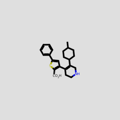 CC1CCC(C2=C(c3cc(-c4ccccc4)sc3C(=O)O)CCNC2)CC1